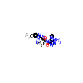 C[C@H](NC(=O)c1ncnc(N)c1CN1CCCC1)c1cc(-c2nc3ccc(C(F)(F)F)cc3[nH]2)no1